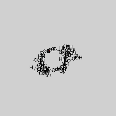 CN[C@@H](C)C(=O)N[C@H](C(=O)N1CC2CC1C(=O)N[C@@H](Cc1ccc(-c3ccc(O)cc3)cc1)C(=O)N[C@H](C(=O)NS(=O)(=O)C1CC1)Cc1ccc(cc1)OCc1cn(cn1)C1C[C@@H](C(=O)N[C@@H](Cc3ccc4ccccc4c3)C(=O)N[C@H](C(=O)O)Cc3ccc(cc3)OC/C=C/CO2)N(C(=O)[C@@H](NC(=O)[C@H](C)NC)C(C)(C)C)C1)C(C)(C)C